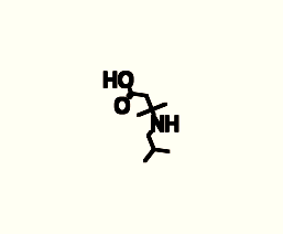 CC(C)CNC(C)(C)CC(=O)O